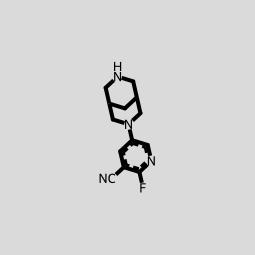 N#Cc1cc(N2CC3CNCC(C3)C2)cnc1F